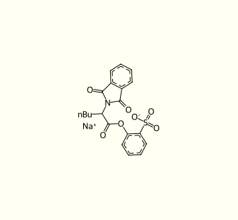 CCCCC(C(=O)Oc1ccccc1S(=O)(=O)[O-])N1C(=O)c2ccccc2C1=O.[Na+]